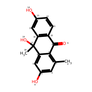 Cc1cc(O)cc2c1C(=O)c1ccc(O)cc1C2(C)O